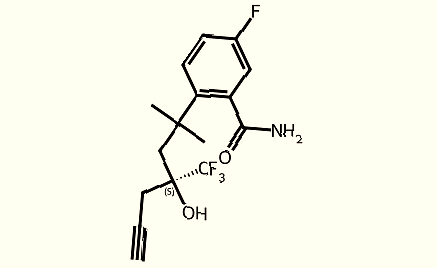 C#CC[C@](O)(CC(C)(C)c1ccc(F)cc1C(N)=O)C(F)(F)F